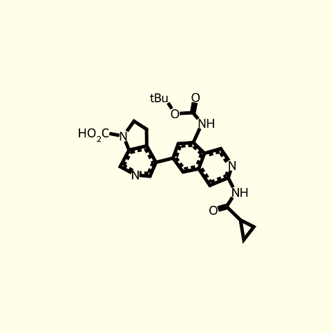 CC(C)(C)OC(=O)Nc1cc(-c2cncc3c2CCN3C(=O)O)cc2cc(NC(=O)C3CC3)ncc12